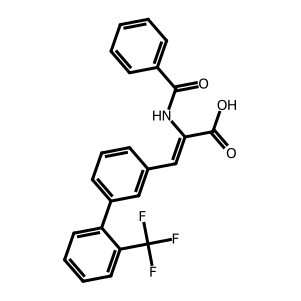 O=C(O)/C(=C/c1cccc(-c2ccccc2C(F)(F)F)c1)NC(=O)c1ccccc1